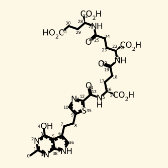 Cc1nc(O)c2c(CCc3cnc(C(=O)N[C@@H](CCC(=O)N[C@@H](CCC(=O)N[C@@H](CCC(=O)O)C(=O)O)C(=O)O)C(=O)O)s3)c[nH]c2n1